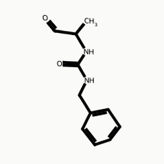 CC([C]=O)NC(=O)NCc1ccccc1